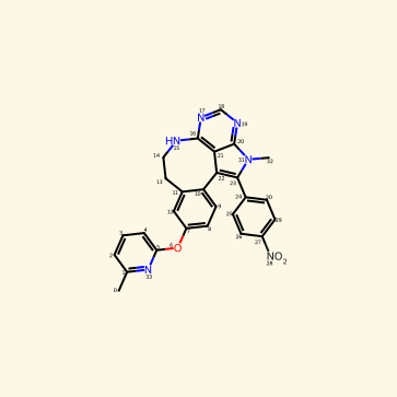 Cc1cccc(Oc2ccc3c(c2)CCNc2ncnc4c2c-3c(-c2ccc([N+](=O)[O-])cc2)n4C)n1